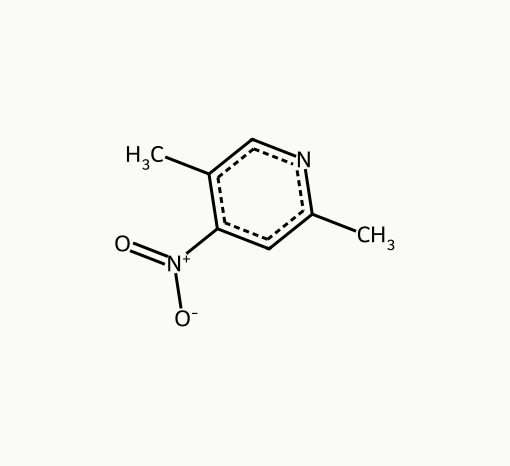 Cc1cc([N+](=O)[O-])c(C)cn1